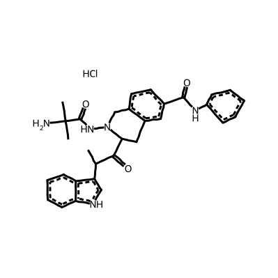 CC(C(=O)C1Cc2cc(C(=O)Nc3ccccc3)ccc2CN1NC(=O)C(C)(C)N)c1c[nH]c2ccccc12.Cl